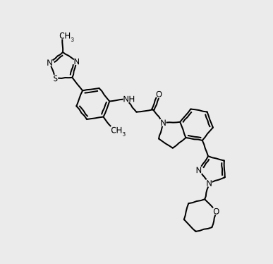 Cc1nsc(-c2ccc(C)c(NCC(=O)N3CCc4c(-c5ccn(C6CCCCO6)n5)cccc43)c2)n1